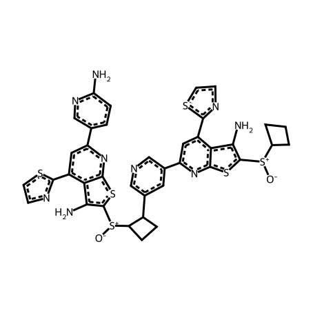 Nc1ccc(-c2cc(-c3nccs3)c3c(N)c([S+]([O-])C4CCC4c4cncc(-c5cc(-c6nccs6)c6c(N)c([S+]([O-])C7CCC7)sc6n5)c4)sc3n2)cn1